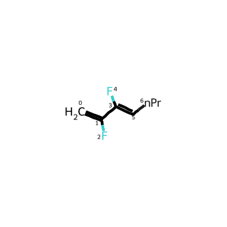 C=C(F)C(F)=CCCC